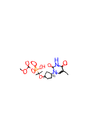 COC(=O)OP(=O)(O)C(C)(C)O[C@@H]1CC[C@H](n2cc(C)c(=O)[nH]c2=O)C1